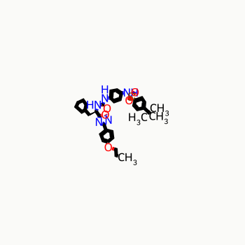 CCCOc1ccc(-c2noc([C@@H](CC3CCCCC3)NC(=O)Nc3ccc(NS(=O)(=O)c4ccc(C(C)(C)C)cc4)cc3)n2)cc1